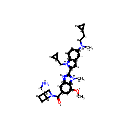 COc1cc(C(=O)N2C[C@]3(CN)CCC23)cc2nc(-c3cc4cc(N(C)CCC5CC5)ccc4n3CC3CC3)n(C)c12